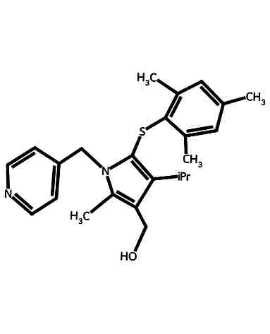 Cc1cc(C)c(Sc2c(C(C)C)c(CO)c(C)n2Cc2ccncc2)c(C)c1